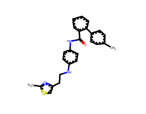 Cc1ccc(-c2ccccc2C(=O)Nc2ccc(NCCc3csc(C)n3)cc2)cc1